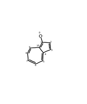 [O]c1ccc2cccccc1-2